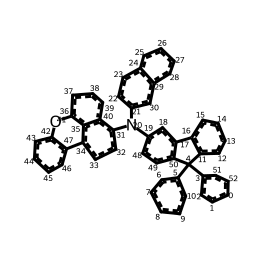 c1ccc(C2(c3ccccc3)c3ccccc3-c3cc(N(c4ccc5ccccc5c4)c4ccc5c6c(cccc46)Oc4ccccc4-5)ccc32)cc1